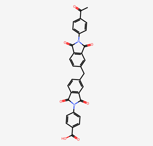 CC(=O)c1ccc(N2C(=O)c3ccc(Cc4ccc5c(c4)C(=O)N(c4ccc(C(=O)O)cc4)C5=O)cc3C2=O)cc1